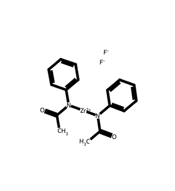 CC(=O)[N]([Zr+2][N](C(C)=O)c1ccccc1)c1ccccc1.[F-].[F-]